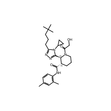 Cc1ccc(NC(=O)[C@H]2CCCN(C(=O)CO)[C@@H]2c2nnc(CCCC(C)(C)C)n2C2CC2)c(C)c1